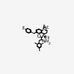 CCN(C(=O)C(N)Cc1c(C)cc(C)cc1C)C1CCN(C(C)=O)c2ccc(Cc3ccc(F)cc3)cc21